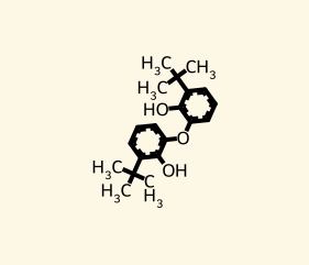 CC(C)(C)c1cccc(Oc2cccc(C(C)(C)C)c2O)c1O